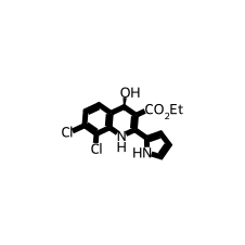 CCOC(=O)C1=C(c2ccc[nH]2)Nc2c(ccc(Cl)c2Cl)[C@H]1O